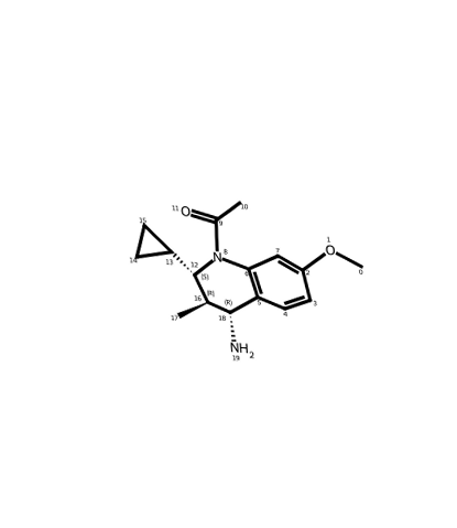 COc1ccc2c(c1)N(C(C)=O)[C@@H](C1CC1)[C@H](C)[C@H]2N